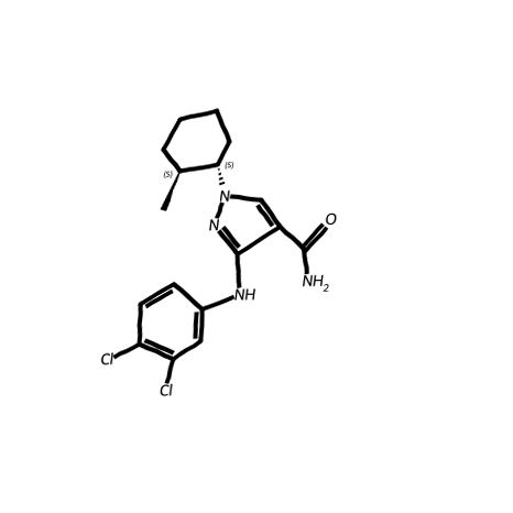 C[C@H]1CCCC[C@@H]1n1cc(C(N)=O)c(Nc2ccc(Cl)c(Cl)c2)n1